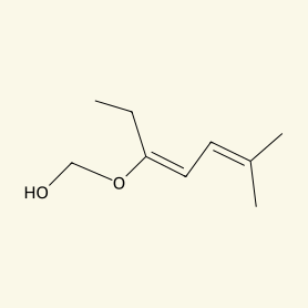 CC/C(=C\C=C(C)C)OCO